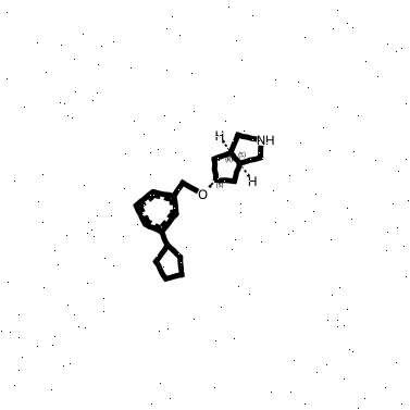 c1cc(CO[C@@H]2C[C@H]3CNC[C@H]3C2)cc(C2CCCC2)c1